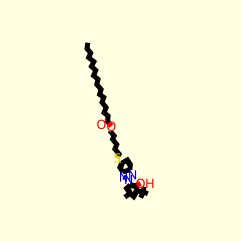 CCCCCCCCCCCCCCCCCC(=O)OCCCCCCSc1ccc2nn(-c3cc(C)cc(C(C)(C)C)c3O)nc2c1